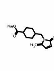 C=C1C=CC(=O)N1CC1CCC(C(=O)OC)CC1